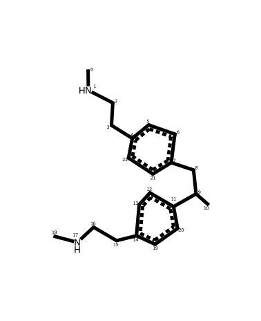 CNCCc1ccc(CC(C)c2ccc(CCNC)cc2)cc1